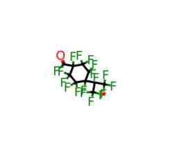 O=C(F)C1(F)C(F)(F)C(F)(F)C(F)(C(F)(C(F)(F)F)C(F)(F)F)C(F)(F)C1(F)F